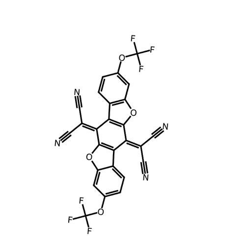 N#CC(C#N)=c1c2oc3cc(OC(F)(F)F)ccc3c2c(=C(C#N)C#N)c2oc3cc(OC(F)(F)F)ccc3c12